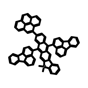 C[Si]1(C)c2ccccc2-c2cc3c(-c4ccc5c6c(cccc46)-c4ccccc4-5)c4ccc(-c5cc6cccc7ccc8cccc5c8c76)cc4c(-c4ccc5c6c(cccc46)-c4ccccc4-5)c3cc21